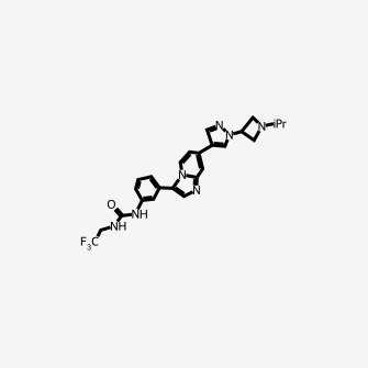 CC(C)N1CC(n2cc(-c3ccn4c(-c5cccc(NC(=O)NCC(F)(F)F)c5)cnc4c3)cn2)C1